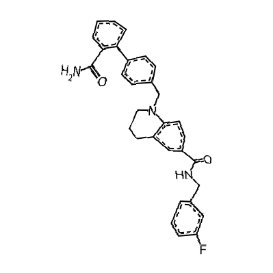 NC(=O)c1ccccc1-c1ccc(CN2CCCc3cc(C(=O)NCc4cccc(F)c4)ccc32)cc1